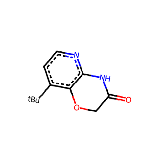 CC(C)(C)c1ccnc2c1OCC(=O)N2